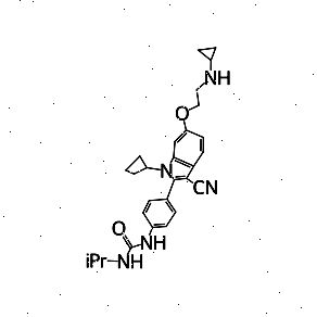 CC(C)NC(=O)Nc1ccc(-c2c(C#N)c3ccc(OCCNC4CC4)cc3n2C2CCC2)cc1